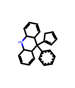 C1=CCC(C2(c3ccccc3)C3C=CC=CC3NC3C=CC=CC32)=C1